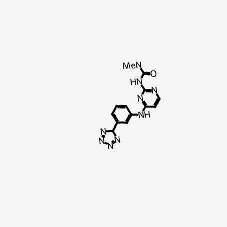 CNC(=O)Nc1nccc(Nc2cccc(C3N=NN=N3)c2)n1